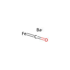 O=[C]=[Fe].[Ba]